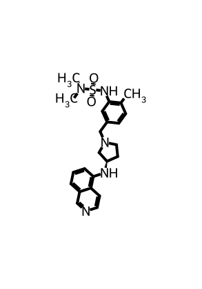 Cc1ccc(CN2CC[C@@H](Nc3cccc4cnccc34)C2)cc1NS(=O)(=O)N(C)C